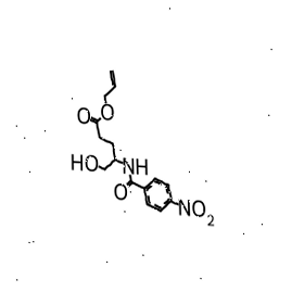 C=CCOC(=O)CCC(CO)NC(=O)c1ccc([N+](=O)[O-])cc1